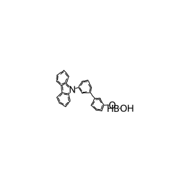 OBOc1cccc(-c2cccc(-n3c4ccccc4c4ccccc43)c2)c1